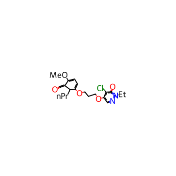 CCCC1C(=C=O)C(OC)=CC=C1OCCCOc1cnn(CC)c(=O)c1Cl